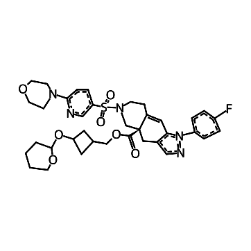 O=C(OCC1CC(OC2CCCCO2)C1)[C@]12Cc3cnn(-c4ccc(F)cc4)c3C=C1CCN(S(=O)(=O)c1ccc(N3CCOCC3)nc1)C2